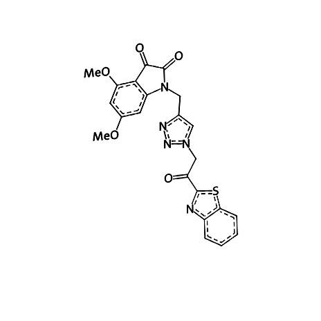 COc1cc(OC)c2c(c1)N(Cc1cn(CC(=O)c3nc4ccccc4s3)nn1)C(=O)C2=O